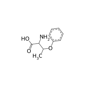 CC(Oc1ccccc1)C(N)C(=O)O